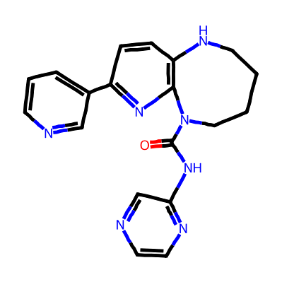 O=C(Nc1cnccn1)N1CCCCNc2ccc(-c3cccnc3)nc21